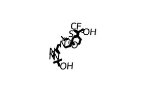 C[C@H]1C[C@@]2(CCN1Cc1cn(C(C)(C)CO)nn1)OCCc1c2sc(C(F)(F)F)c1CO